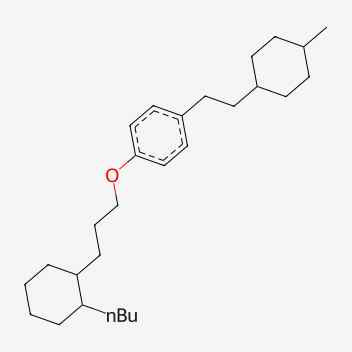 CCCCC1CCCCC1CCCOc1ccc(CCC2CCC(C)CC2)cc1